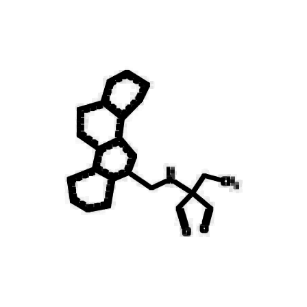 CCC(C=O)(C=O)NCc1cc2c3ccccc3ccc2c2ccccc12